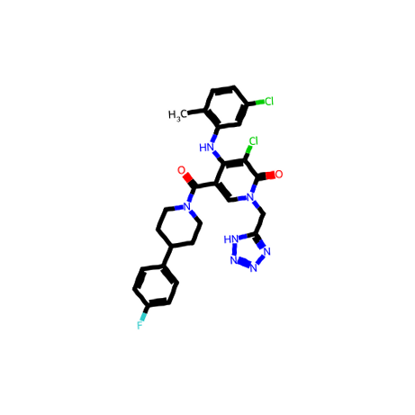 Cc1ccc(Cl)cc1Nc1c(C(=O)N2CCC(c3ccc(F)cc3)CC2)cn(Cc2nnn[nH]2)c(=O)c1Cl